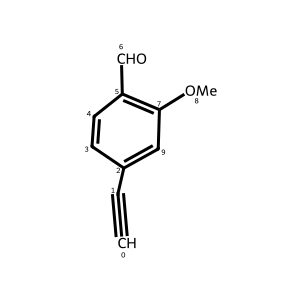 C#Cc1ccc(C=O)c(OC)c1